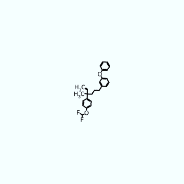 C=CC(C)(CCCc1cccc(Oc2ccccc2)c1)c1ccc(OC(F)F)cc1